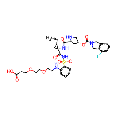 C=C[C@@H]1C[C@]1(NC(=O)[C@@H]1C[C@@H](OC(=O)N2Cc3cccc(F)c3C2)CN1)C(=O)NS(=O)(=O)c1ccccc1NCCOCCOCCC(=O)O